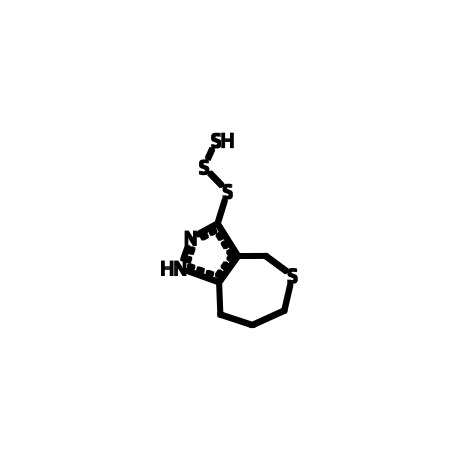 SSSc1n[nH]c2c1CSCCC2